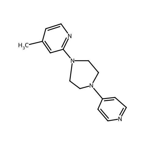 Cc1ccnc(N2CCN(c3ccncc3)CC2)c1